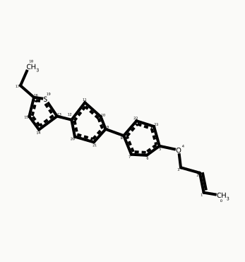 CC=CCOc1ccc(-c2ccc(-c3ccc(CC)s3)cc2)cc1